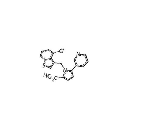 O=C(O)c1ccc(-c2cccnc2)n1Cc1csc2cccc(Cl)c12